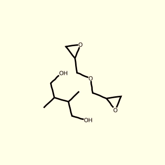 C(OCC1CO1)C1CO1.CC(CO)C(C)CO